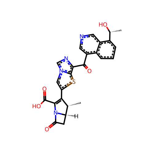 C[C@@H](O)c1cccc2c(C(=O)c3ncn4cc(C5=C(C(=O)O)N6C(=O)C[C@@H]6[C@H]5C)sc34)cncc12